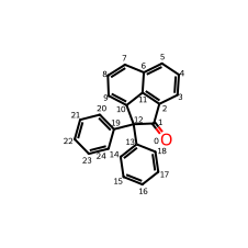 O=C1c2cccc3cccc(c23)C1(c1ccccc1)c1ccccc1